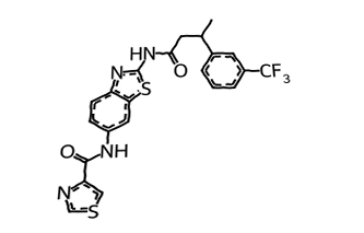 CC(CC(=O)Nc1nc2ccc(NC(=O)c3cscn3)cc2s1)c1cccc(C(F)(F)F)c1